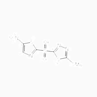 CSc1nnc(S(=O)(=O)c2ncc([N+](=O)[O-])s2)s1